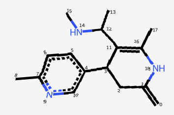 C=C1CC(c2ccc(C)nc2)C(C(C)NC)=C(C)N1